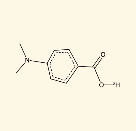 [2H]OC(=O)c1ccc(N(C)C)cc1